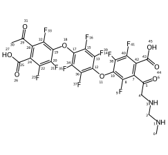 CNCNCC(=O)c1c(F)c(Oc2c(F)c(F)c(Oc3c(F)c(F)c(C(=O)O)c(C(C)=O)c3F)c(F)c2F)c(F)c(F)c1C(=O)O